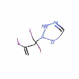 C=C(I)C(I)(I)N1NC=NN1